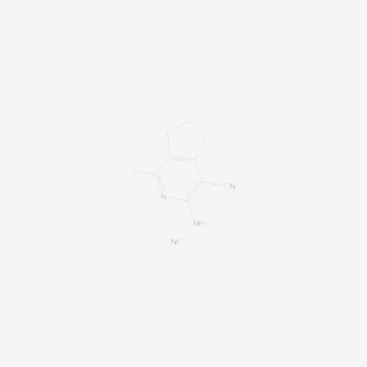 Cc1nc(NC#N)c(C#N)c2c1CCC2